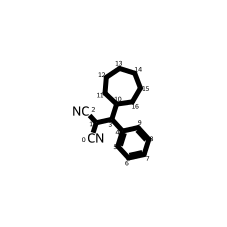 N#CC(C#N)C(c1ccccc1)C1CCCCCC1